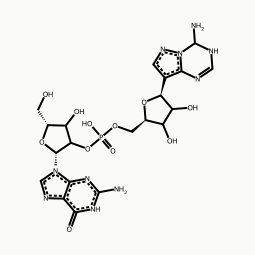 Nc1nc2c(ncn2[C@@H]2O[C@H](CO)C(O)C2OP(=O)(O)OC[C@H]2O[C@@H](c3cnn4c3N=CNC4N)C(O)C2O)c(=O)[nH]1